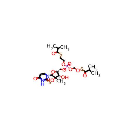 CC(C)C(=O)SCCOP(=O)(OCOSC(=O)C(C)C)OC[C@H]1O[C@@H](n2ccc(=O)[nH]c2=S)C(C)(O)[C@H]1O